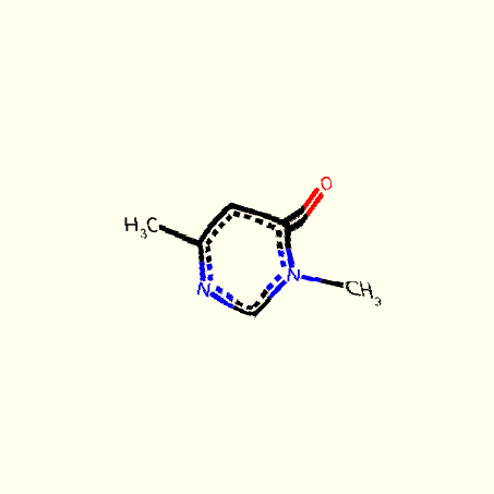 Cc1cc(=O)n(C)[c]n1